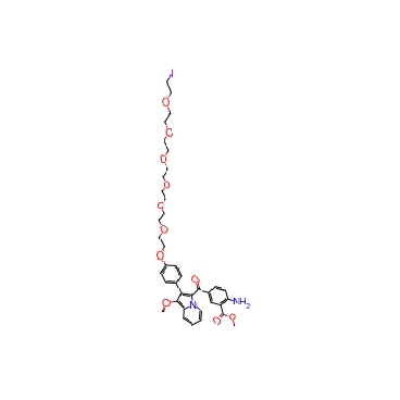 COC(=O)c1cc(C(=O)c2c(-c3ccc(OCCOCCOCCOCCOCCOCCOCCI)cc3)c(OC)c3ccccn23)ccc1N